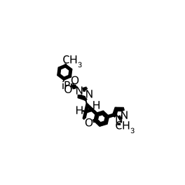 CC(C)[C@@H]1CC[C@@H](C)C[C@H]1OC(=O)n1cnc([C@@H]2[C@H]3COc4ccc(-c5ccnn5C)cc4[C@H]32)c1